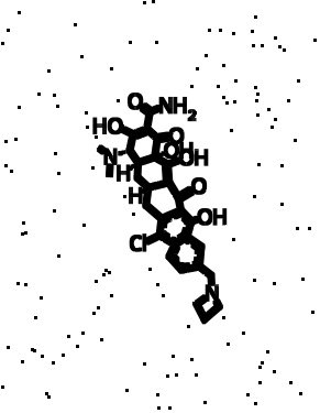 CN(C)[C@@H]1C(O)=C(C(N)=O)C(=O)[C@@]2(O)C(O)=C3C(=O)c4c(c(Cl)c5ccc(CN6CCC6)cc5c4O)C[C@H]3C[C@@H]12